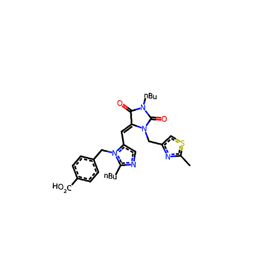 CCCCc1ncc(C=C2C(=O)N(CCCC)C(=O)N2Cc2csc(C)n2)n1Cc1ccc(C(=O)O)cc1